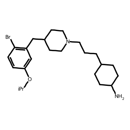 CC(C)Oc1ccc(Br)c(CC2CCN(CCCC3CCC(N)CC3)CC2)c1